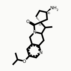 CC(C)Oc1cnc2c(c1)CN1C(=O)[C@]3(CC[C@@H](N)C3)C(C)C1C2